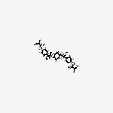 C=C(C)C(=O)Oc1ccc(C(F)(F)OC2CCC(OC(F)(F)c3ccc(OC(=O)C(=C)C)cc3)CC2)cc1